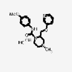 COc1ccc(NC(=O)N2CCN(C)CC2COc2cccnc2)cc1.Cl.Cl